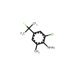 CC(=O)Nc1c(C)cc(C(F)(C(F)(F)F)C(F)(F)F)cc1Cl